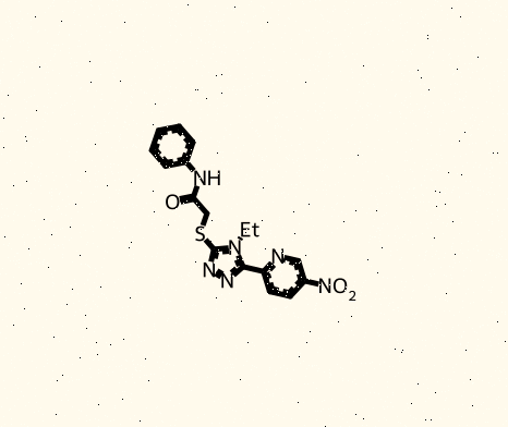 CCn1c(SCC(=O)Nc2ccccc2)nnc1-c1ccc([N+](=O)[O-])cn1